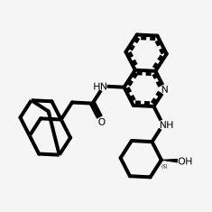 O=C(CC12CC3CC(CC(C3)C1)C2)Nc1cc(NC2CCCC[C@@H]2O)nc2ccccc12